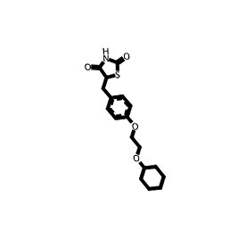 O=C1NC(=O)C(Cc2ccc(OCCOC3CCCCC3)cc2)S1